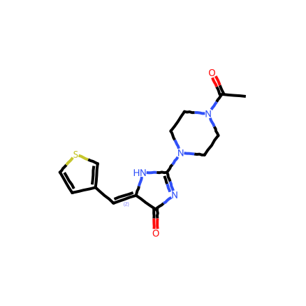 CC(=O)N1CCN(C2=NC(=O)/C(=C/c3ccsc3)N2)CC1